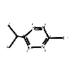 CC(C)c1nnc(I)nn1